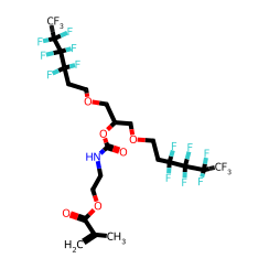 C=C(C)C(=O)OCCNC(=O)OC(COCCC(F)(F)C(F)(F)C(F)(F)C(F)(F)F)COCCC(F)(F)C(F)(F)C(F)(F)C(F)(F)F